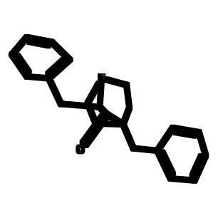 O=C1C(Cc2ccccc2)N2CCC1(Cc1ccccc1)CC2